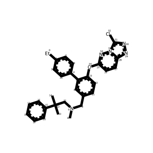 CCc1ccc(-c2cc(CN(C)CC(C)(C)c3ccccc3)ccc2Oc2ccc3nnc(Cl)n3n2)cc1